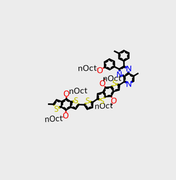 CCCCCCCCOc1cccc(-c2nc3c(-c4cc5c(OCCCCCCCC)c6sc(-c7ccc(-c8cc9c(OCCCCCCCC)c%10sc(C)cc%10c(OCCCCCCCC)c9s8)s7)cc6c(OCCCCCCCC)c5s4)ncc(C)c3nc2-c2cccc(C)c2)c1